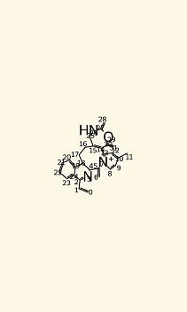 C=CC1=NC2C(=C)[n+]3ccc(C)cc3C3=C(CCC2c2ccccc21)CNC(=C)OC3=C